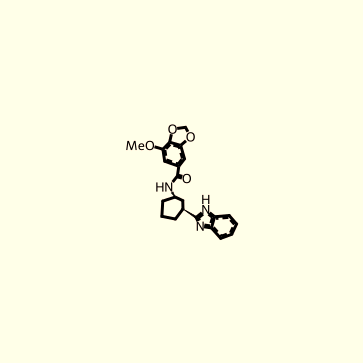 COc1cc(C(=O)N[C@@H]2CCC[C@H](c3nc4ccccc4[nH]3)C2)cc2c1OCO2